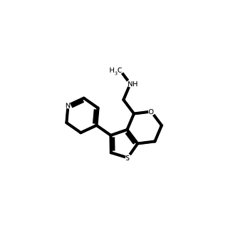 CNCC1OCCc2scc(C3=CC=NCC3)c21